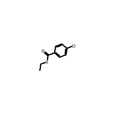 CCSC(=O)c1ccc(Cl)cc1